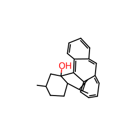 CC1CCC(C(C)C)C(O)(c2c3ccccc3cc3ccccc23)C1